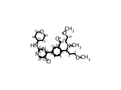 COCCC(c1ccc(-c2nc(NC3CCOCC3)ncc2Cl)cc1C=O)N(C)CCOC